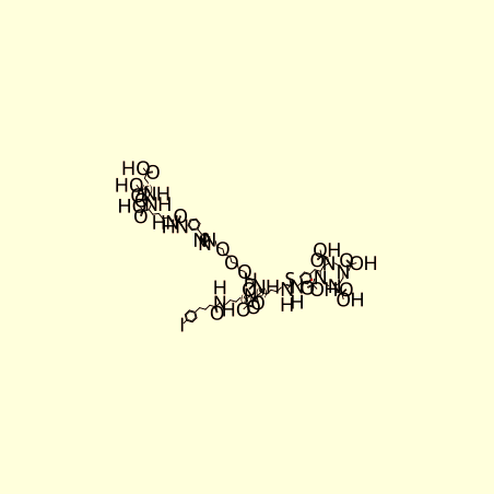 O=C(O)CC[C@H](NC(=O)NC(CCCCNC(=O)Nc1cccc(-c2cn(CCOCCOCCOCCC(=O)N[C@@H](CCCCNC(=S)Nc3ccc(CC4CN(CC(=O)O)CCN(CC(=O)O)CCN(CC(=O)O)CCN4CC(=O)O)cc3)C(=O)N[C@@H](CCCCNC(=O)CCCc3ccc(I)cc3)C(=O)O)nn2)c1)C(=O)O)C(=O)O